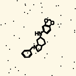 c1ccc(CN2CCC3CCC(Nc4ccc5c(c4)OCO5)CC32)cc1